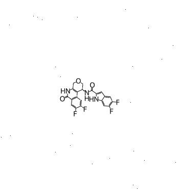 O=C(N[C@@H]1COCc2[nH]c(=O)c3cc(F)c(F)cc3c21)c1cc2cc(F)c(F)cc2[nH]1